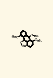 CCCCOc1cccc2c(OCCCC)c3c(OCCCC)cccc3c(OCCCC)c12